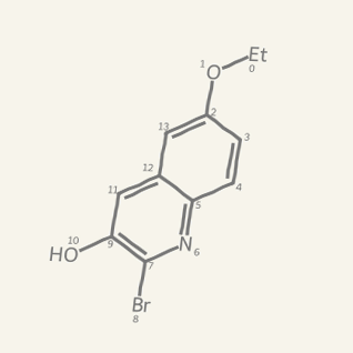 CCOc1ccc2nc(Br)c(O)cc2c1